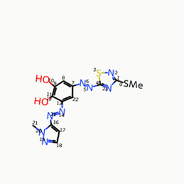 CSc1nsc(/N=N/c2cc(O)c(O)c(/N=N/c3ccnn3C)c2)n1